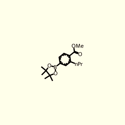 CCCc1cc(B2OC(C)(C)C(C)(C)O2)ccc1C(=O)OC